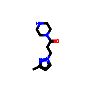 Cc1ccn(CCC(=O)N2CCNCC2)n1